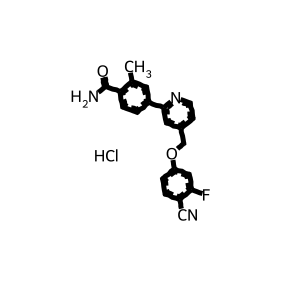 Cc1cc(-c2cc(COc3ccc(C#N)c(F)c3)ccn2)ccc1C(N)=O.Cl